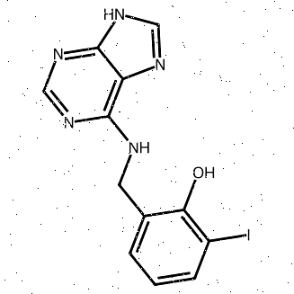 Oc1c(I)cccc1CNc1ncnc2[nH]cnc12